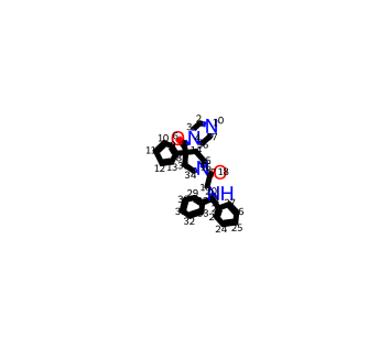 CN1CCN(C(=O)C2(c3ccccc3)CCN(C(=O)CNC(c3ccccc3)c3ccccc3)CC2)CC1